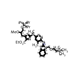 CCOC(=O)c1nc(N(C)c2cc(C)c(/N=c3\sc4ccccc4n3COCC[Si](C)(C)C)nn2)sc1CC(CO[Si](C(C)C)(C(C)C)C(C)C)OC